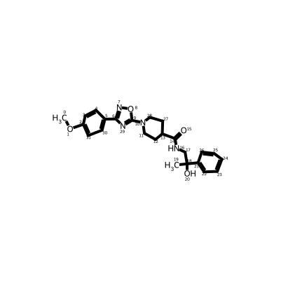 COc1ccc(-c2noc(N3CCC(C(=O)NCC(C)(O)c4ccccc4)CC3)n2)cc1